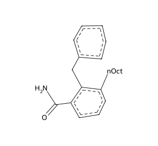 CCCCCCCCc1cccc(C(N)=O)c1Cc1ccccc1